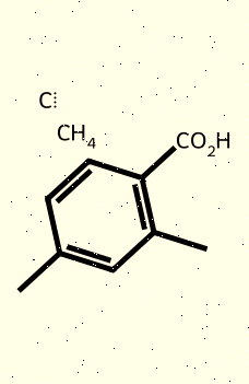 C.Cc1ccc(C(=O)O)c(C)c1.[C]